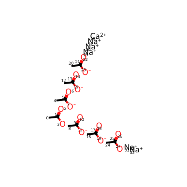 CC(=O)[O-].CC(=O)[O-].CC(=O)[O-].CC(=O)[O-].CC(=O)[O-].CC(=O)[O-].CC(=O)[O-].[Ca+2].[Na+].[Na+].[Na+].[Na+].[Na+]